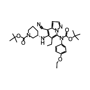 CCOc1ccc(N(C(=O)OC(C)(C)C)c2c(CC)c(N[C@H]3CCCN(C(=O)OC(C)(C)C)C3)c(C#N)c3ccnn23)cc1